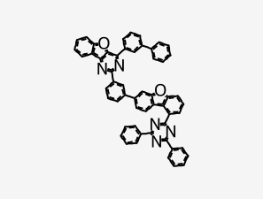 c1ccc(-c2cccc(-c3nc(-c4cccc(-c5ccc6c(c5)oc5cccc(-c7nc(-c8ccccc8)nc(-c8ccccc8)n7)c56)c4)nc4c3oc3ccccc34)c2)cc1